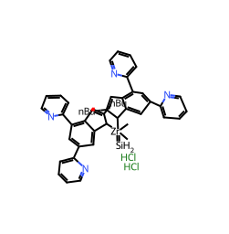 CCCCC1=Cc2c(-c3ccccn3)cc(-c3ccccn3)cc2[CH]1[Zr]([CH3])([CH3])(=[SiH2])[CH]1C(CCCC)=Cc2c(-c3ccccn3)cc(-c3ccccn3)cc21.Cl.Cl